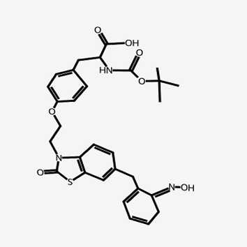 CC(C)(C)OC(=O)NC(Cc1ccc(OCCn2c(=O)sc3cc(CC4=CC=CCC4=NO)ccc32)cc1)C(=O)O